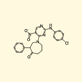 O=C1CCCN(c2nc(Nc3ccc(Cl)cc3)ncc2[N+](=O)[O-])CC1c1ccccc1